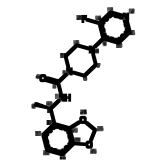 C[C@@H](NC(=O)N1CCN(c2ccncc2F)CC1)c1cccc2c1OCO2